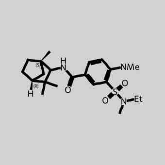 CCN(C)S(=O)(=O)c1cc(C(=O)NC2C(C)(C)[C@@H]3CC[C@@]2(C)C3)ccc1NC